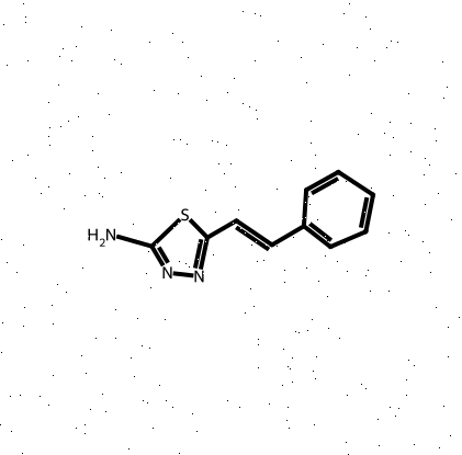 Nc1nnc(/C=C/c2ccccc2)s1